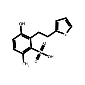 Cc1ccc(O)c(CCc2cccs2)c1S(=O)(=O)O